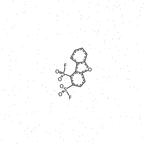 O=S(=O)(F)c1ccc2oc3ccccc3c2c1S(=O)(=O)F